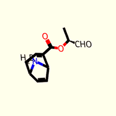 BN1C2C=CC1C(C(=O)O[C@@H](C)C=O)=CC2